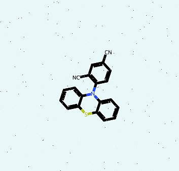 N#Cc1ccc(N2c3ccccc3Sc3ccccc32)c(C#N)c1